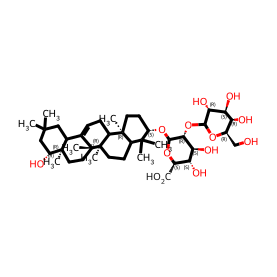 CC1(C)CC2C3=CCC4[C@@]5(C)CC[C@H](OC6O[C@H](C(=O)O)[C@@H](O)[C@H](O)[C@H]6OC6O[C@H](CO)[C@H](O)[C@H](O)[C@H]6O)C(C)(C)C5CC[C@@]4(C)[C@]3(C)CC[C@@]2(C)[C@H](O)C1